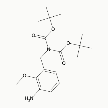 COc1c(N)cccc1CN(C(=O)OC(C)(C)C)C(=O)OC(C)(C)C